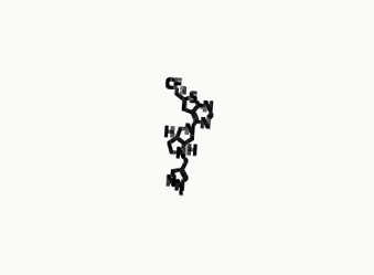 Cn1cc(CN2CC[C@H]3CN(c4ncnc5sc(CC(F)(F)F)cc45)C[C@H]32)cn1